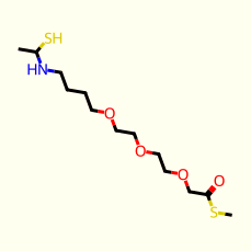 CSC(=O)COCCOCCOCCCCNC(C)S